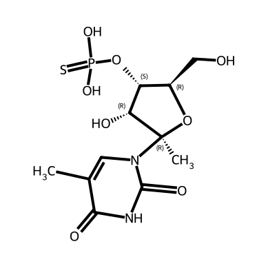 Cc1cn([C@]2(C)O[C@H](CO)[C@@H](OP(O)(O)=S)[C@H]2O)c(=O)[nH]c1=O